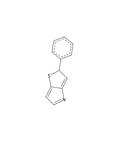 C1=NC2=CC(c3ccccc3)SC2=C1